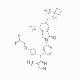 Cn1cnnc1[C@@H](c1cccc(N2Cc3c(cc(CNC4(C)CCC4)cc3C(F)(F)F)C2=O)c1)C1CC(OCC(F)F)C1